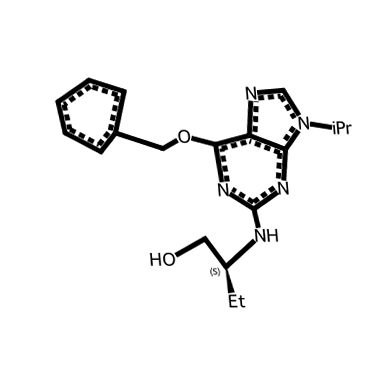 CC[C@@H](CO)Nc1nc(OCc2ccccc2)c2ncn(C(C)C)c2n1